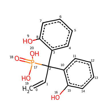 C=CC(c1ccccc1O)(c1ccccc1O)P(=O)(O)O